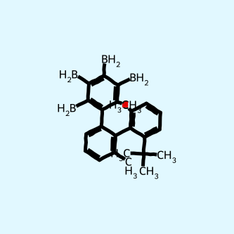 Bc1c(B)c(B)c(-c2cccc(C)c2-c2c(C)cccc2C(C)(C)C)c(C)c1B